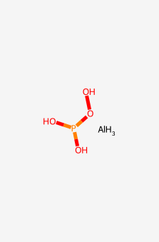 OOP(O)O.[AlH3]